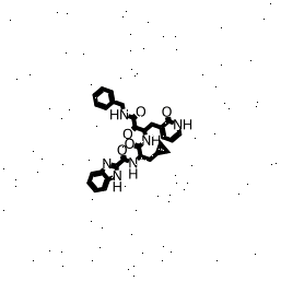 O=C(NCc1ccccc1)C(=O)C(Cc1ccc[nH]c1=O)NC(=O)C(CC1CC1)NC(=O)c1nc2ccccc2[nH]1